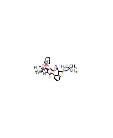 CC(C)(C)CNc1sc2cccc(-c3c(Br)cc4c(N5CC6CCC(C5)N6C(=O)OC(C)(C)C)nc(Cl)nc4c3F)c2c1C#N